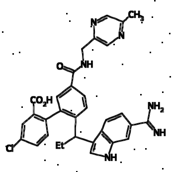 CCC(c1ccc(C(=O)NCc2cnc(C)cn2)cc1-c1ccc(Cl)cc1C(=O)O)c1c[nH]c2cc(C(=N)N)ccc12